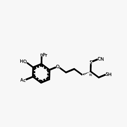 CCCc1c(OCCC[C@@H](CS)SC#N)ccc(C(C)=O)c1O